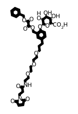 O=C(CCN1C(=O)C=CC1=O)NCCOCCOCCOCCCc1ccc(O[C@@H]2O[C@H](C(=O)O)[C@@H](O)[C@H](O)[C@H]2O)c(COC(=O)C(=O)OCc2ccccc2)c1